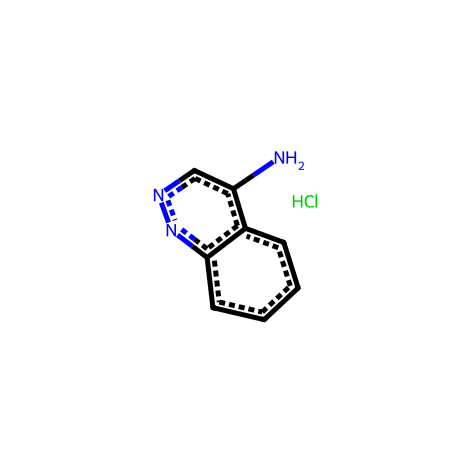 Cl.Nc1cnnc2ccccc12